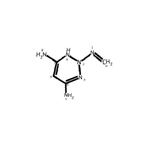 C=NN1N=C(N)C=C(N)N1